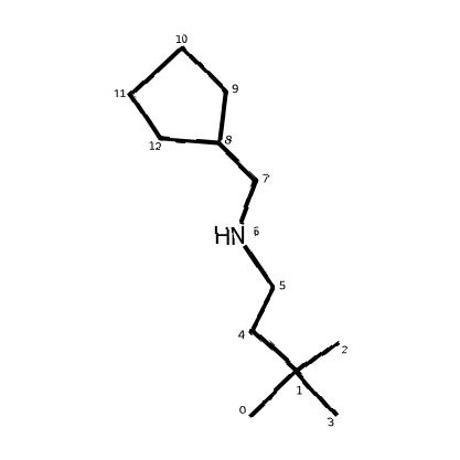 CC(C)(C)CCNCC1CCCC1